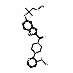 CC(C)Nc1cccnc1N1CCN(C(=O)c2cc3cc(OC(C)(C)COC(C)C)ccc3[nH]2)CC1